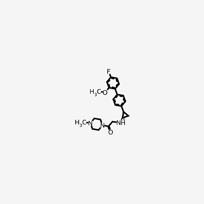 COc1cc(F)ccc1-c1ccc(C2C[C@@H]2NCC(=O)N2CCN(C)CC2)cc1